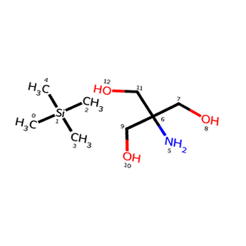 C[Si](C)(C)C.NC(CO)(CO)CO